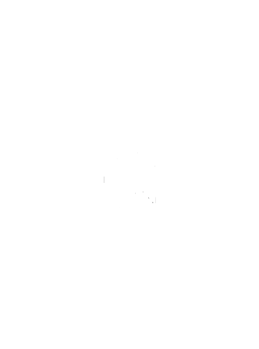 Cc1oc2ccc(OCc3ccccc3)cc2c1C(N)=O.O=C(O)C1CCOCC1